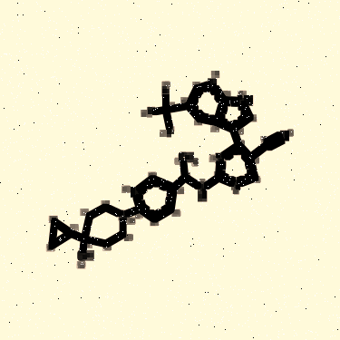 CC(Nc1ncc(C#N)c(-c2c[nH]c3ncc(C(F)(F)F)cc23)n1)c1ccc(N2CCC(O)(C3CC3)CC2)nc1